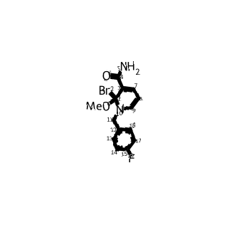 COC1(Br)C(C(N)=O)=CC=CN1Cc1ccc(F)cc1